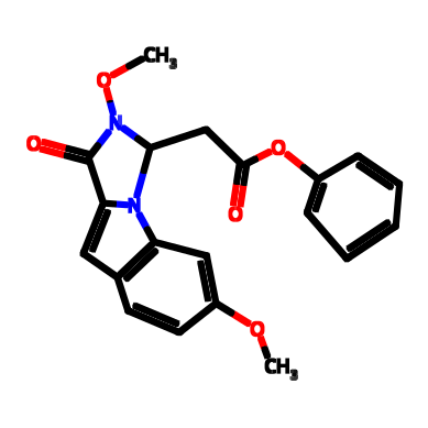 COc1ccc2cc3n(c2c1)C(CC(=O)Oc1ccccc1)N(OC)C3=O